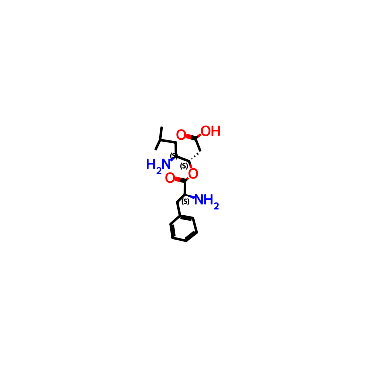 CC(C)C[C@H](N)[C@H](CC(=O)O)OC(=O)[C@@H](N)Cc1ccccc1